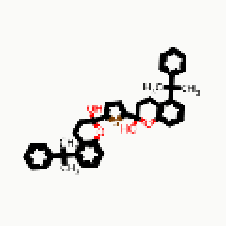 CC(C)(c1ccccc1)c1cccc2c1CCC(O)(c1ccc(C3(O)CCc4c(cccc4C(C)(C)c4ccccc4)O3)s1)O2